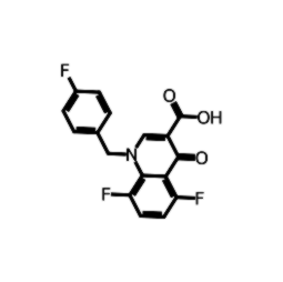 O=C(O)c1cn(Cc2ccc(F)cc2)c2c(F)ccc(F)c2c1=O